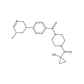 O=C(c1ccc(C2CN=CC(F)C2)cc1)N1CCN(C(=O)C2(O)CC2)CC1